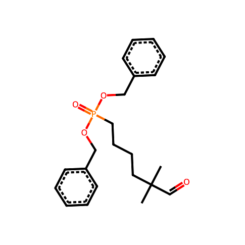 CC(C)(C=O)CCCCP(=O)(OCc1ccccc1)OCc1ccccc1